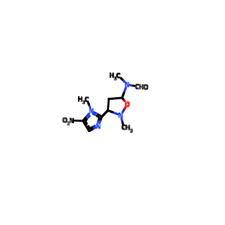 CN(C=O)C1CC(c2ncc([N+](=O)[O-])n2C)N(C)O1